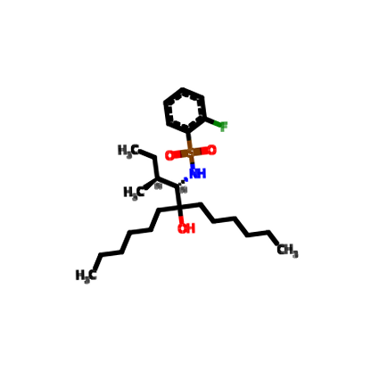 CCCCCCC(O)(CCCCCC)[C@@H](NS(=O)(=O)c1ccccc1F)[C@@H](C)CC